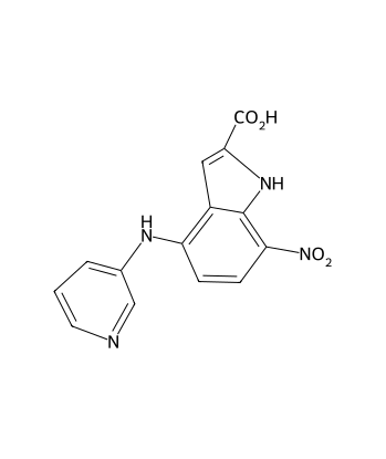 O=C(O)c1cc2c(Nc3cccnc3)ccc([N+](=O)[O-])c2[nH]1